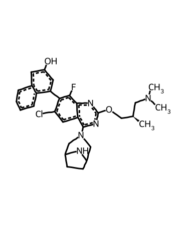 C[C@@H](COc1nc(N2CC3CCC(C2)N3)c2cc(Cl)c(-c3cc(O)cc4ccccc34)c(F)c2n1)CN(C)C